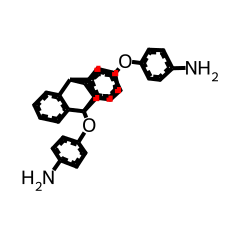 Nc1ccc(Oc2ccc3c(c2)C2c4ccccc4C3(Oc3ccc(N)cc3)c3ccccc32)cc1